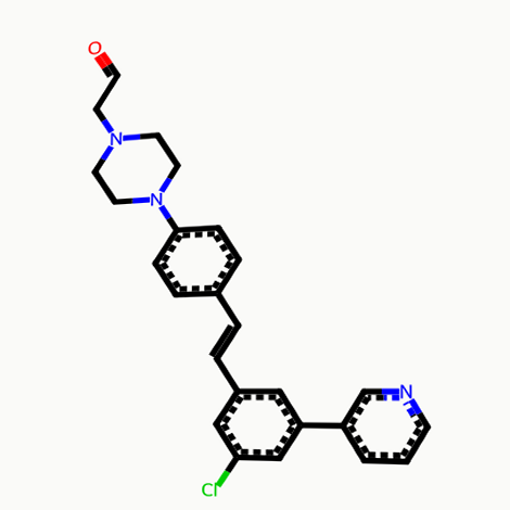 O=CCN1CCN(c2ccc(/C=C/c3cc(Cl)cc(-c4cccnc4)c3)cc2)CC1